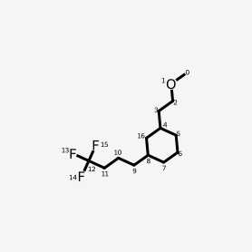 COCCC1CCCC(CCCC(F)(F)F)C1